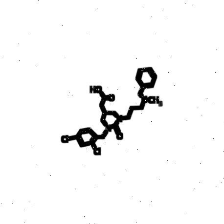 CN(CCCN1CC(CC(=O)O)CN(Cc2ccc(Cl)cc2Cl)C1=O)Cc1ccccc1